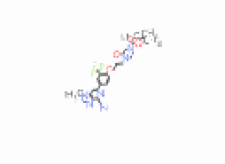 Cn1cnc2c(C#N)nc(-c3ccc(OCCCN4CCN(C(=O)OC(C)(C)C)CC4=O)c(C(F)(F)F)c3)cc21